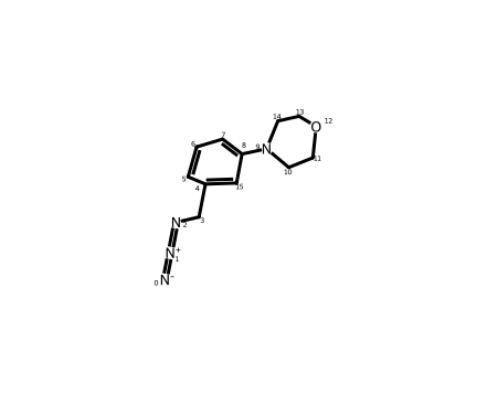 [N-]=[N+]=NCc1cccc(N2CCOCC2)c1